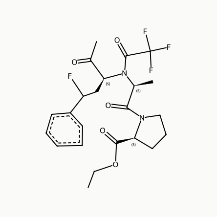 CCOC(=O)[C@@H]1CCCN1C(=O)[C@H](C)N(C(=O)C(F)(F)F)[C@@H](CC(F)c1ccccc1)C(C)=O